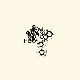 O=[N+]([O-])c1ccccc1CO[C@@H]1C[C@H](C2CCCC2)O[C@@H]1COP(=O)(O)OP(=O)(O)OP(=O)(O)O